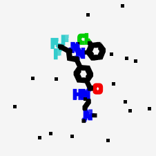 CN(C)CCNC(=O)c1ccc(-c2cc(C(F)(F)F)nn2-c2ccccc2Cl)cc1